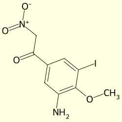 COc1c(N)cc(C(=O)C[N+](=O)[O-])cc1I